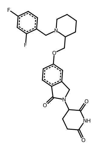 O=C1CCC(N2Cc3cc(OCC4CCCCN4Cc4ccc(F)cc4F)ccc3C2=O)C(=O)N1